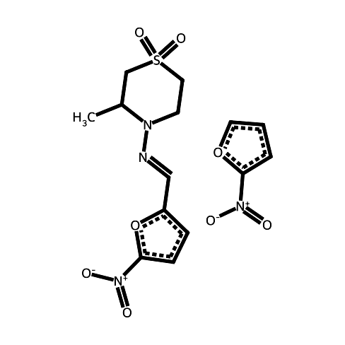 CC1CS(=O)(=O)CCN1N=Cc1ccc([N+](=O)[O-])o1.O=[N+]([O-])c1ccco1